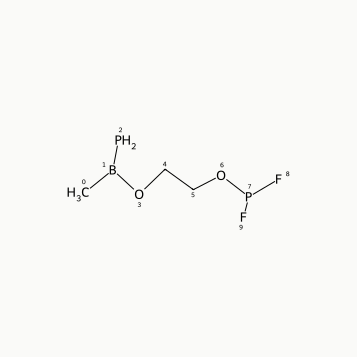 CB(P)OCCOP(F)F